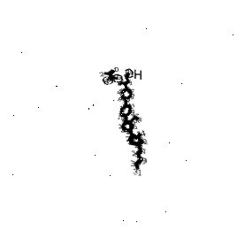 C=C(C)C(=O)OCC(CCO)C1CCC(C2CCC(c3ccc(-c4ccc(CCCCC)cc4C)cc3CC)CC2)CC1